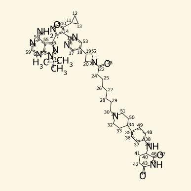 CC(C)(C)n1nc(-c2noc(C3CC3)c2-c2ncc(C3CN(C(=O)CCCCCCCN4CCC(c5ccc(NC6CCC(=O)NC6=O)cc5)CC4)C3)cn2)c2c(N)ncnc21